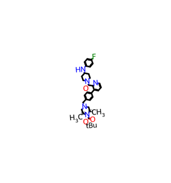 C[C@@H]1CN(Cc2ccc(-c3cccnc3C(=O)N3CCC(Nc4ccc(F)cc4)CC3)cc2)C[C@H](C)N1C(=O)OC(C)(C)C